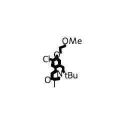 COCCCOc1cc2c(cc1Cl)-c1cc(=O)c(I)cn1C(C(C)(C)C)C2